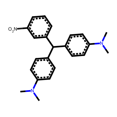 CN(C)c1ccc(C(c2ccc(N(C)C)cc2)c2cccc([N+](=O)[O-])c2)cc1